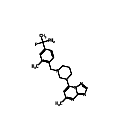 Cc1cc(C2CCCN(Cc3ccc(C(C)(F)P)cc3C)C2)n2ncnc2n1